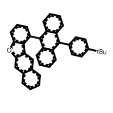 CC(C)(C)c1ccc(-c2c3ccccc3c(-c3cccc4oc5cc6ccccc6cc5c34)c3ccccc23)cc1